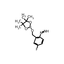 CC1(C)OB(OCc2cc(F)ccc2N=N)OC1(C)C